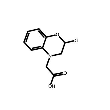 O=C(O)CN1CC(Cl)Oc2ccccc21